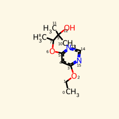 CCOc1cc(OC(C)C(C)(C)O)ncn1